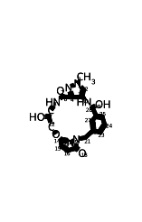 Cn1cc2c(n1)C(=O)NCC(O)COc1ccc(=O)n(n1)Cc1cccc(c1)C(O)N2